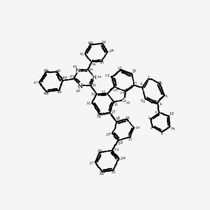 c1ccc(-c2cccc(-c3cccc4c3sc3c(-c5cccc(-c6ccccc6)c5)ccc(-c5nc(-c6ccccc6)nc(-c6ccccc6)n5)c34)c2)cc1